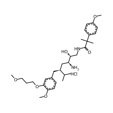 COCCCOc1cc(C[C@@H](C[C@H](N)[C@@H](O)CNC(=O)C(C)(C)c2ccc(OC)cc2)C(C)C)ccc1OC.Cl